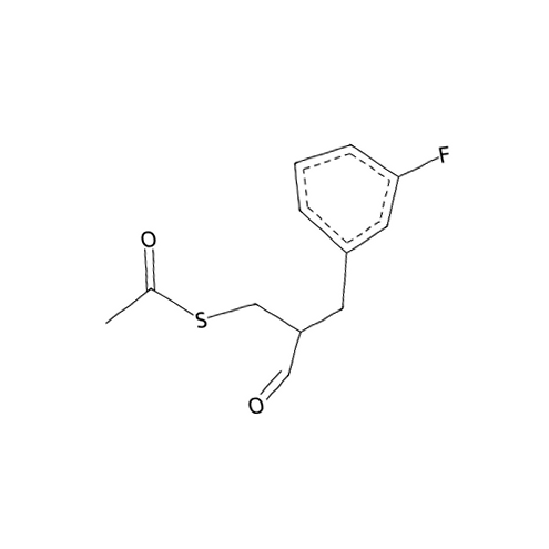 CC(=O)SCC(C=O)Cc1cccc(F)c1